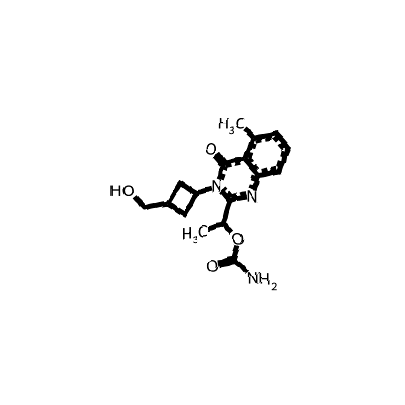 Cc1cccc2nc(C(C)OC(N)=O)n(C3CC(CO)C3)c(=O)c12